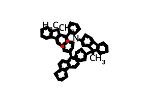 CC1(C)c2ccccc2-c2cccc(-c3ccccc3N(c3cccc(-c4cccc5c4ccc4ccccc45)c3)c3ccc4c(c3)C(C)(c3ccccc3)c3ccccc3-4)c21